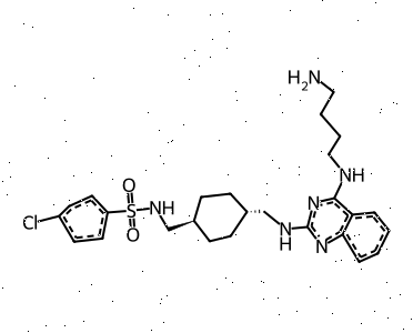 NCCCCNc1nc(NC[C@H]2CC[C@H](CNS(=O)(=O)c3ccc(Cl)cc3)CC2)nc2ccccc12